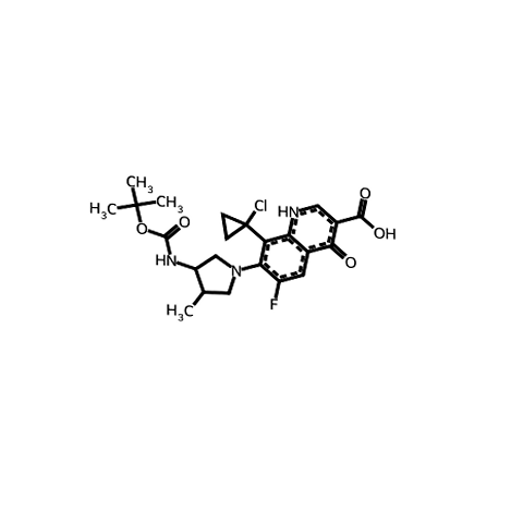 CC1CN(c2c(F)cc3c(=O)c(C(=O)O)c[nH]c3c2C2(Cl)CC2)CC1NC(=O)OC(C)(C)C